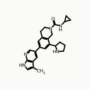 Cc1c[nH]c2ncc(-c3cc4c(c(C5CCCN5)c3)CN(C(=O)NC3CC3)CC4)cc12